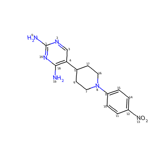 Nc1ncc(C2CCN(c3ccc([N+](=O)[O-])cc3)CC2)c(N)n1